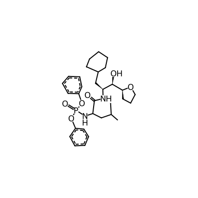 CC(C)CC(NP(=O)(Oc1ccccc1)Oc1ccccc1)C(=O)N[C@@H](CC1CCCCC1)[C@@H](O)[C@@H]1CCCO1